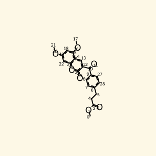 COC(=O)CCc1ccc(C(=O)c2cc3c(OC)cc(OC)cc3oc2=O)cc1